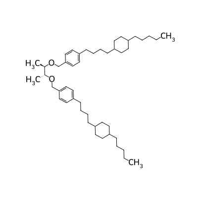 CCCCCC1CCC(CCCCc2ccc(CO[C@H](C)[C@@H](C)OCc3ccc(CCCCC4CCC(CCCCC)CC4)cc3)cc2)CC1